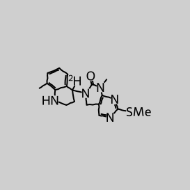 [2H]C1(N2Cc3cnc(SC)nc3N(C)C2=O)CCNc2c(C)cccc21